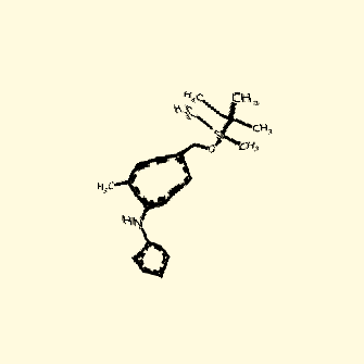 Cc1cc(CO[Si](C)(C)C(C)(C)C)ccc1Nc1ccccc1